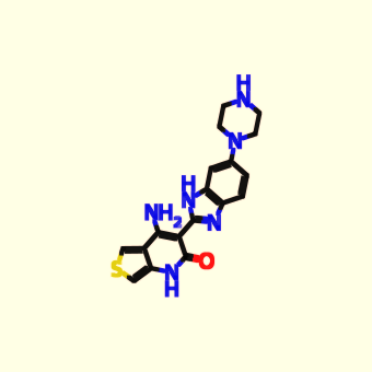 Nc1c(-c2nc3ccc(N4CCNCC4)cc3[nH]2)c(=O)[nH]c2cscc12